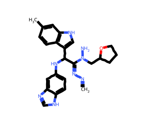 C=N/N=C(/C(Nc1ccc2[nH]cnc2c1)c1c[nH]c2cc(C)ccc12)N(N)CC1CCCO1